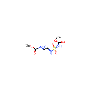 CC(C)(C)OC(=O)NCCNS(=O)(=O)NC(=O)OC(C)(C)C